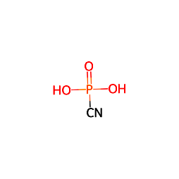 N#CP(=O)(O)O